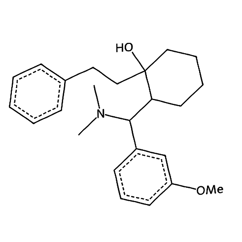 COc1cccc(C(C2CCCCC2(O)CCc2ccccc2)N(C)C)c1